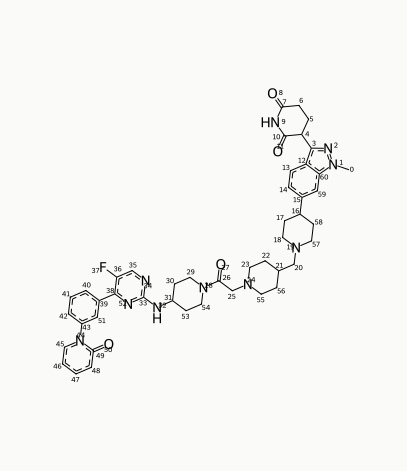 Cn1nc(C2CCC(=O)NC2=O)c2ccc(C3CCN(CC4CCN(CC(=O)N5CCC(Nc6ncc(F)c(-c7cccc(-n8ccccc8=O)c7)n6)CC5)CC4)CC3)cc21